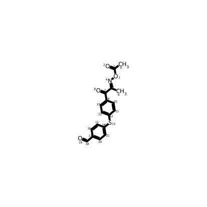 CC(=O)O/N=C(\C)C(=O)c1ccc(Sc2ccc(C=O)cc2)cc1